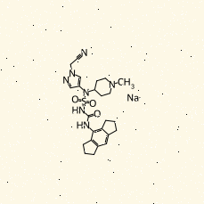 CN1CCC(N(c2cnn(CC#N)c2)S(=O)(=O)NC(=O)Nc2c3c(cc4c2CCC4)CCC3)CC1.[Na]